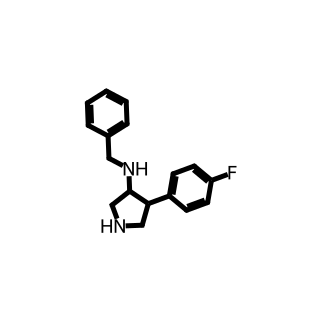 Fc1ccc(C2CNCC2NCc2ccccc2)cc1